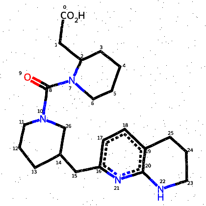 O=C(O)CC1CCCCN1C(=O)N1CCCC(Cc2ccc3c(n2)NCCC3)C1